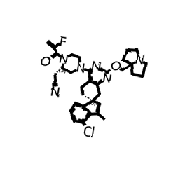 C=C(F)C(=O)N1CCN(c2nc(OCC34CCCN3CCC4)nc3c2CC[C@@]2(C=C(C)c4c(Cl)cccc42)C3)C[C@@H]1CC#N